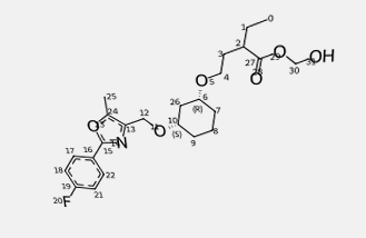 CCC(CCO[C@@H]1CCC[C@H](OCc2nc(-c3ccc(F)cc3)oc2C)C1)C(=O)OCO